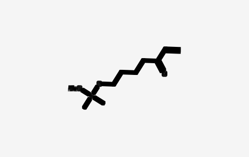 C=CC(=O)CCCCO[Si](C)(C)OC